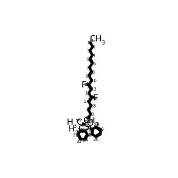 CCCCCC=CCC=CCC(F)=CCC(F)=CCCCCO[Si](c1ccccc1)(c1ccccc1)C(C)(C)C